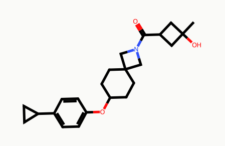 CC1(O)CC(C(=O)N2CC3(CCC(Oc4ccc(C5CC5)cc4)CC3)C2)C1